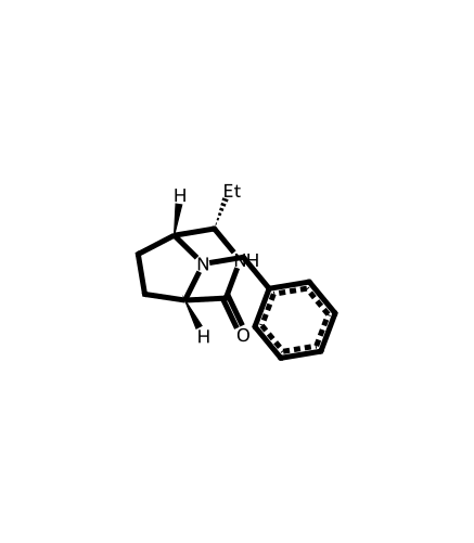 CC[C@@H]1NC(=O)[C@@H]2CC[C@H]1N2Cc1ccccc1